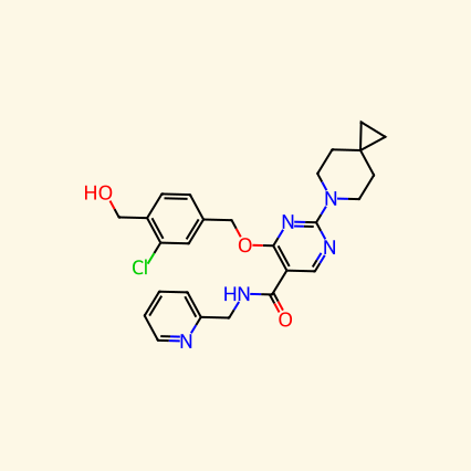 O=C(NCc1ccccn1)c1cnc(N2CCC3(CC2)CC3)nc1OCc1ccc(CO)c(Cl)c1